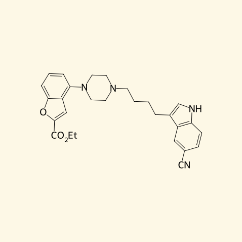 CCOC(=O)c1cc2c(N3CCN(CCCCc4c[nH]c5ccc(C#N)cc45)CC3)cccc2o1